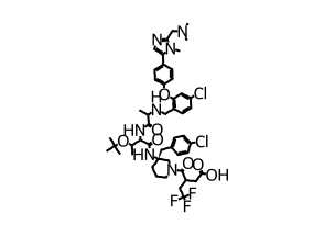 CC(NCc1ccc(Cl)cc1Oc1ccc(-c2cnc(CN(C)C)n2C)cc1)C(=O)NC(C(=O)N[C@@]1(Cc2ccc(Cl)cc2)CCCN(C(=O)C(CC(=O)O)CC(F)(F)F)C1)C(C)OC(C)(C)C